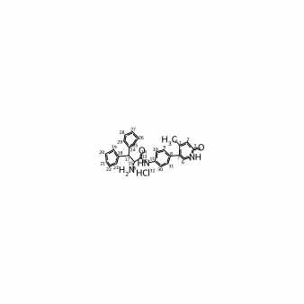 Cc1cc(=O)[nH]cc1-c1ccc(NC(=O)C(N)C(c2ccccc2)c2ccccc2)cc1.Cl